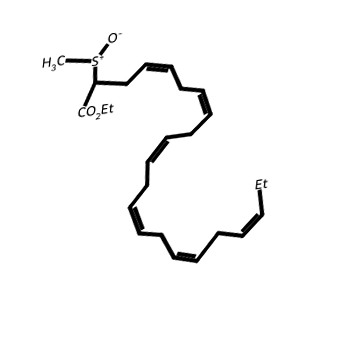 CC/C=C\C/C=C\C/C=C\C/C=C\C/C=C\C/C=C\CC(C(=O)OCC)[S+](C)[O-]